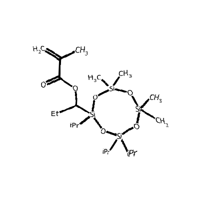 C=C(C)C(=O)OC(CC)[Si]1(C(C)C)O[Si](C)(C)O[Si](C)(C)O[Si](C(C)C)(C(C)C)O1